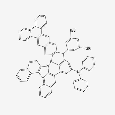 CC(C)(C)c1cc(C2c3cc4cc5c6ccccc6c6ccccc6c5cc4cc3B3c4c(cc(N(c5ccccc5)c5ccccc5)cc42)-c2cc4ccccc4c4c5c6ccccc6ccc5n3c24)cc(C(C)(C)C)c1